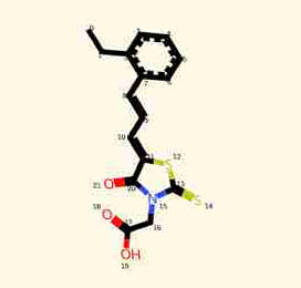 CCc1ccccc1C=CC=C1SC(=S)N(CC(=O)O)C1=O